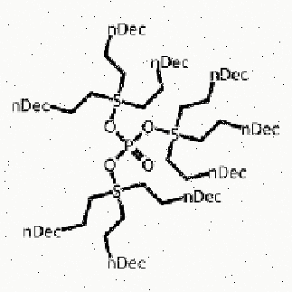 CCCCCCCCCCCCS(CCCCCCCCCCCC)(CCCCCCCCCCCC)OP(=O)(OS(CCCCCCCCCCCC)(CCCCCCCCCCCC)CCCCCCCCCCCC)OS(CCCCCCCCCCCC)(CCCCCCCCCCCC)CCCCCCCCCCCC